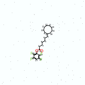 O=C(CCCCCCC1CCCCCCCC1)Oc1c(F)c(F)cc(F)c1F